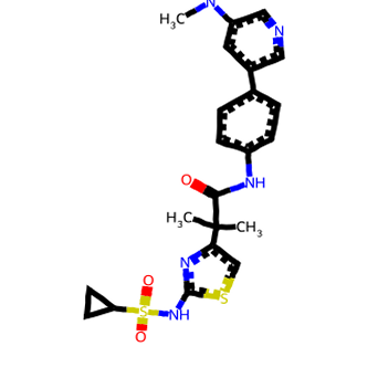 CN(C)c1cncc(-c2ccc(NC(=O)C(C)(C)c3csc(NS(=O)(=O)C4CC4)n3)cc2)c1